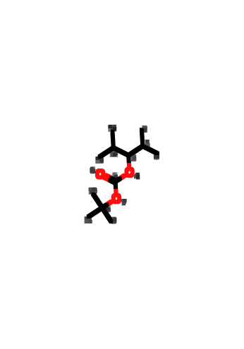 CC(C)C(OC(=O)OC(C)(C)C)C(C)C